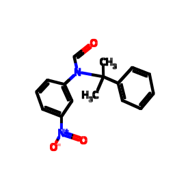 CC(C)(c1ccccc1)N(C=O)c1cccc([N+](=O)[O-])c1